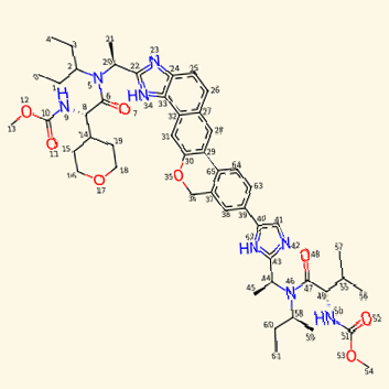 CCC(CC)N(C(=O)[C@@H](NC(=O)OC)C1CCOCC1)[C@@H](C)c1nc2ccc3cc4c(cc3c2[nH]1)OCc1cc(-c2cnc([C@H](C)N(C(=O)[C@@H](NC(=O)OC)C(C)C)[C@@H](C)CC)[nH]2)ccc1-4